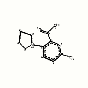 O=C(O)c1nc(Cl)ccc1N1CCCC1